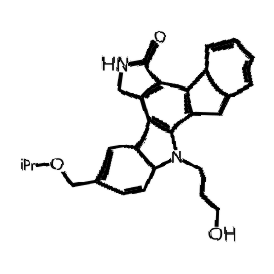 CC(C)OCC1=CC2c3c4c(c5c(c3N(CCCO)C2C=C1)CC1C=CC=CC51)C(=O)NC4